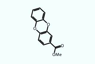 COC(=O)c1ccc2c(c1)Oc1ccccc1O2